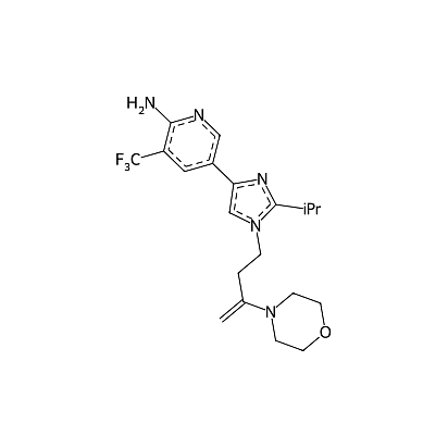 C=C(CCn1cc(-c2cnc(N)c(C(F)(F)F)c2)nc1C(C)C)N1CCOCC1